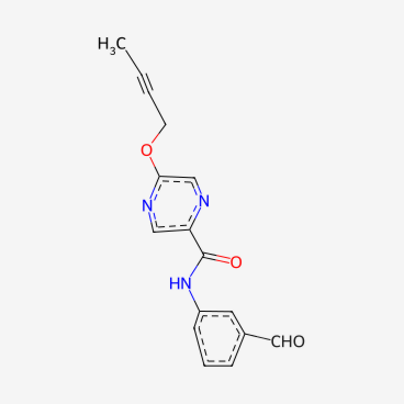 CC#CCOc1cnc(C(=O)Nc2cccc(C=O)c2)cn1